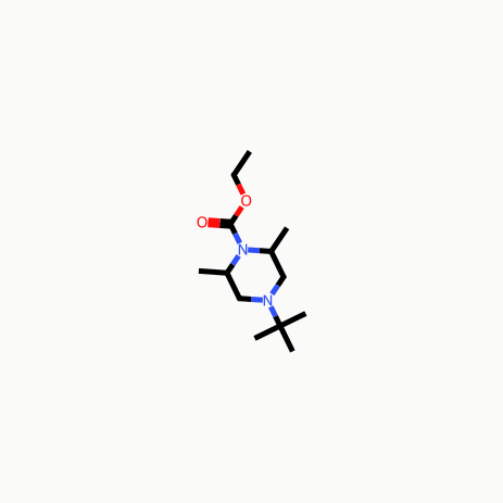 CCOC(=O)N1C(C)CN(C(C)(C)C)CC1C